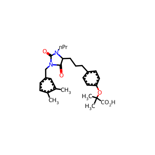 CCCN1C(=O)N(Cc2ccc(C)c(C)c2)C(=O)C1CCCc1ccc(OC(C)(C)C(=O)O)cc1